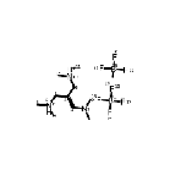 CN(C)C=C(C[NH+](C)C)C[NH+](C)C.F[B-](F)(F)F.F[B-](F)(F)F